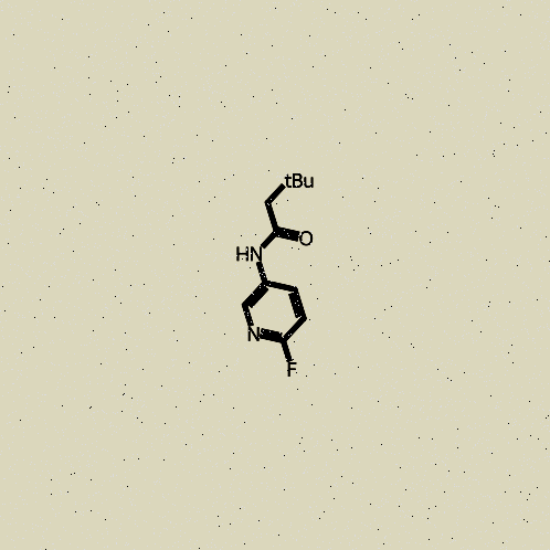 CC(C)(C)CC(=O)Nc1ccc(F)nc1